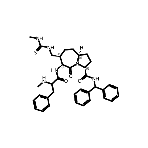 CNC(=S)NC[C@H]1CC[C@H]2CC[C@@H](C(=O)NC(c3ccccc3)c3ccccc3)N2C(=O)[C@H]1NC(=O)C(Cc1ccccc1)NC